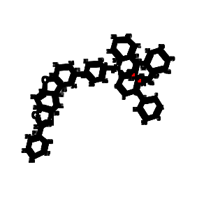 c1ccc(-c2ccc(N(c3ccc(-c4ccc5oc6cc7oc(-c8ccccc8)nc7cc6c5c4)cc3)c3ccccc3-c3cccc4ccccc34)cc2)cc1